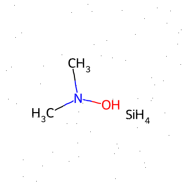 CN(C)O.[SiH4]